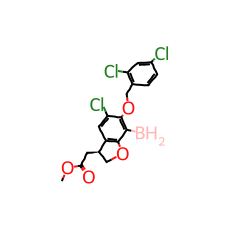 Bc1c(OCc2ccc(Cl)cc2Cl)c(Cl)cc2c1OC[C@H]2CC(=O)OC